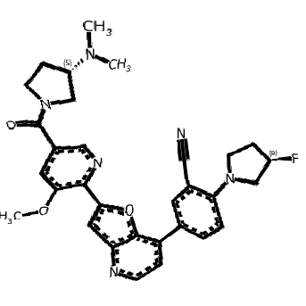 COc1cc(C(=O)N2CC[C@H](N(C)C)C2)cnc1-c1cc2nccc(-c3ccc(N4CC[C@@H](F)C4)c(C#N)c3)c2o1